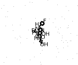 O=C(NC1CC(O)C1)c1c(O)c2ncc(Cc3ccc(F)cc3)c3c2n(c1=O)CC(F)(F)CN3